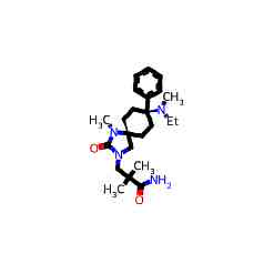 CCN(C)[C@]1(c2ccccc2)CC[C@@]2(CC1)CN(CC(C)(C)C(N)=O)C(=O)N2C